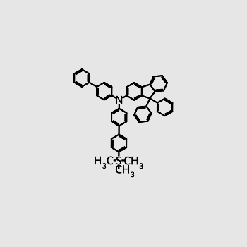 CS(C)(C)c1ccc(-c2ccc(N(c3ccc(-c4ccccc4)cc3)c3ccc4c(c3)C(c3ccccc3)(c3ccccc3)c3ccccc3-4)cc2)cc1